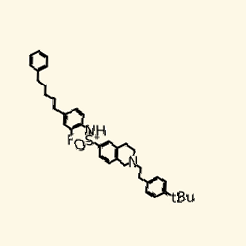 CC(C)(C)c1ccc(CCN2CCc3cc([S+]([O-])Nc4ccc(CCCCCc5ccccc5)cc4F)ccc3C2)cc1